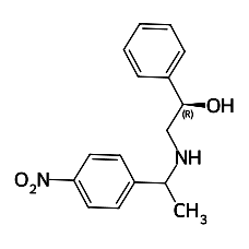 CC(NC[C@H](O)c1ccccc1)c1ccc([N+](=O)[O-])cc1